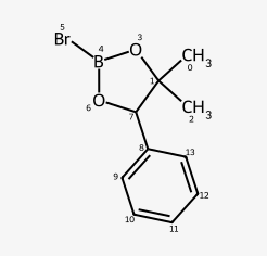 CC1(C)OB(Br)OC1c1ccccc1